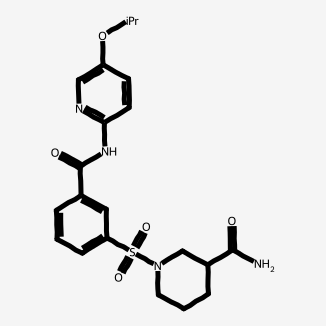 CC(C)Oc1ccc(NC(=O)c2cccc(S(=O)(=O)N3CCCC(C(N)=O)C3)c2)nc1